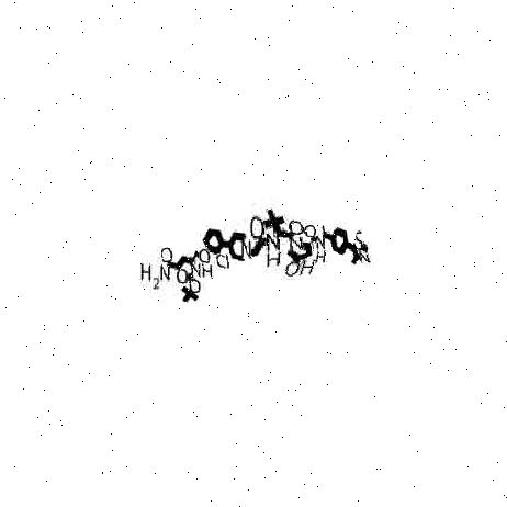 Cc1ncsc1-c1ccc([C@H](C)NC(=O)[C@@H]2C[C@@H](O)CN2C(=O)[C@@H](NC(=O)CN2CCC(c3cccc(OC[C@H](CCC(N)=O)NC(=O)OC(C)(C)C)c3Cl)CC2)C(C)(C)C)cc1